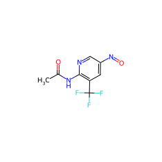 CC(=O)Nc1ncc(N=O)cc1C(F)(F)F